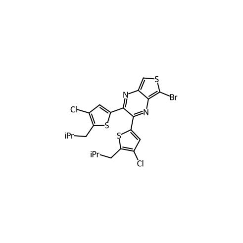 CC(C)Cc1sc(-c2nc3csc(Br)c3nc2-c2cc(Cl)c(CC(C)C)s2)cc1Cl